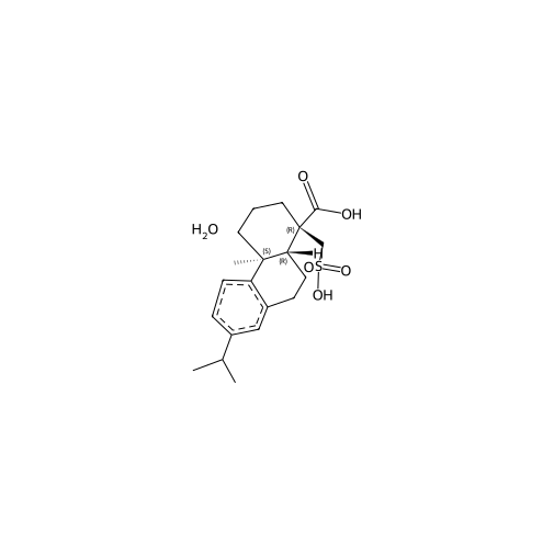 CC(C)c1ccc2c(c1)CC[C@H]1[C@@](CS(=O)(=O)O)(C(=O)O)CCC[C@]21C.O